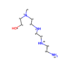 CN(CCO)CCNCCNCCN